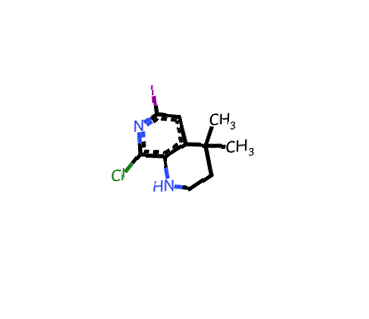 CC1(C)CCNc2c1cc(I)nc2Cl